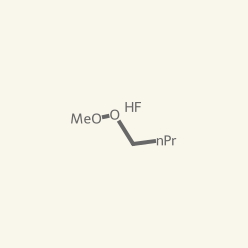 CCCCOOC.F